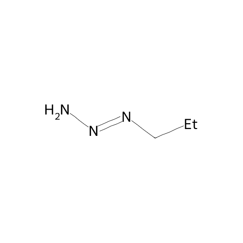 CCCN=NN